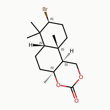 CC1(C)[C@H]2CC[C@]3(C)OC(=O)OC[C@@H]3[C@@]2(C)CC[C@@H]1Br